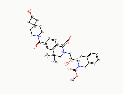 CC(C)(C)OC(=O)N1Cc2ccccc2C[C@H]1[C@H](O)CN1CC(C)(C)c2cc(C(=O)N3CCC4(CC3)CC(O)C4)ccc2C1=C=O